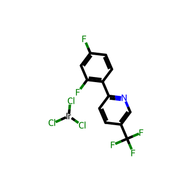 Fc1ccc(-c2ccc(C(F)(F)F)cn2)c(F)c1.[Cl][Ir]([Cl])[Cl]